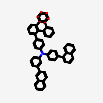 c1ccc(-c2ccccc2-c2c(-c3ccccc3)cccc2-c2ccc(N(c3ccc(-c4cccc5ccccc45)cc3)c3cccc(-c4ccc5ccccc5c4)c3)cc2)cc1